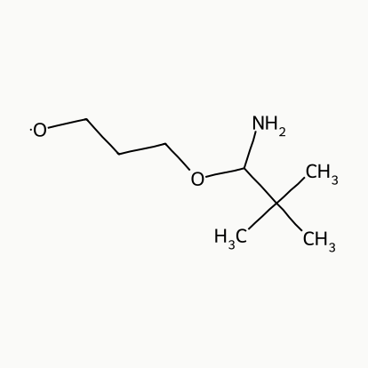 CC(C)(C)C(N)OCCC[O]